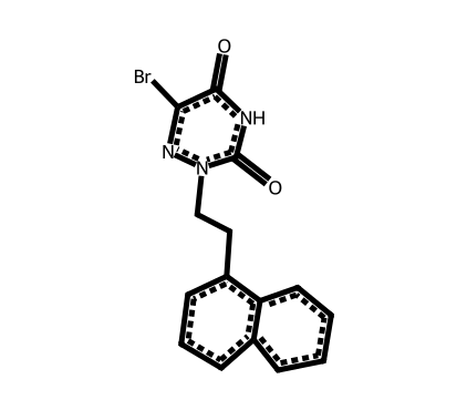 O=c1[nH]c(=O)n(CCc2cccc3ccccc23)nc1Br